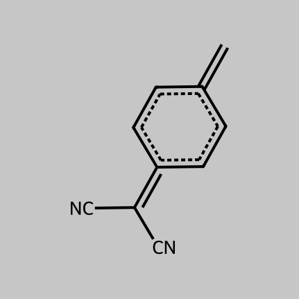 C=c1ccc(=C(C#N)C#N)cc1